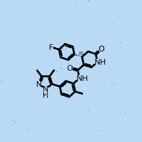 Cc1ccc(-c2[nH]nc(C)c2C)cc1NC(=O)C1=CNC(=O)C[C@H]1c1ccc(F)cc1